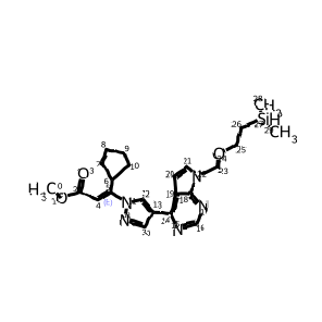 COC(=O)/C=C(\C1CCCC1)n1cc(-c2ncnc3c2ccn3COCC[SiH](C)C)cn1